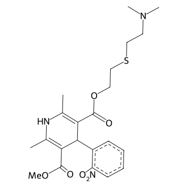 COC(=O)C1=C(C)NC(C)=C(C(=O)OCCSCCN(C)C)C1c1ccccc1[N+](=O)[O-]